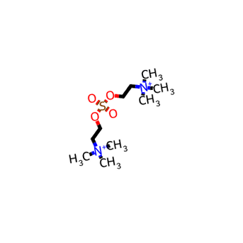 C[N+](C)(C)CCOS(=O)(=O)OCC[N+](C)(C)C